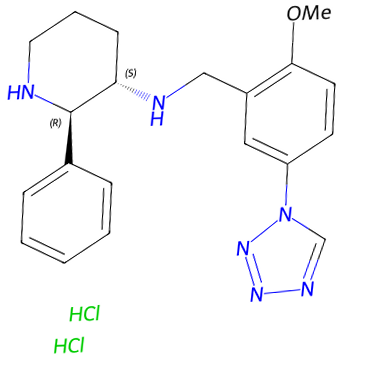 COc1ccc(-n2cnnn2)cc1CN[C@H]1CCCN[C@@H]1c1ccccc1.Cl.Cl